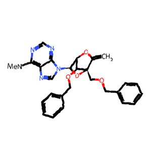 C=C1OC2C(OCc3ccccc3)[C@@]1(COCc1ccccc1)O[C@H]2n1cnc2c(NC)ncnc21